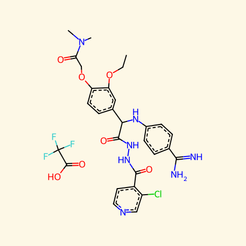 CCOc1cc(C(Nc2ccc(C(=N)N)cc2)C(=O)NNC(=O)c2ccncc2Cl)ccc1OCC(=O)N(C)C.O=C(O)C(F)(F)F